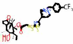 C=C[C@]1(C)C[C@@H](OC(=O)CSc2nc(-c3cc[n+](Cc4ccc(C(F)(F)F)cc4)cc3)cs2)[C@]2(C)[C@H](C)CC[C@]3(CCC(=O)[C@H]32)[C@@H](C)[C@@H]1O